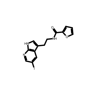 O=C(NCCc1c[nH]c2ncc(I)cc12)c1ccco1